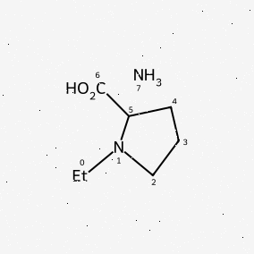 CCN1CCCC1C(=O)O.N